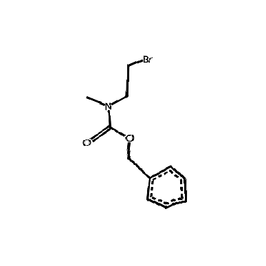 CN(CCBr)C(=O)OCc1ccccc1